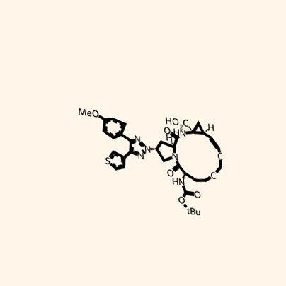 COc1ccc(-c2nn([C@H]3C[C@H]4C(=O)N[C@@]5(C(=O)O)C[C@H]5/C=C\CCCCC[C@@H](NC(=O)OC(C)(C)C)C(=O)N4C3)nc2-c2ccsc2)cc1